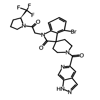 O=C(c1cc2cn[nH]c2cn1)N1CCC2(CC1)C(=O)N(CC(=O)N1CCC[C@H]1C(F)(F)F)c1cccc(Br)c12